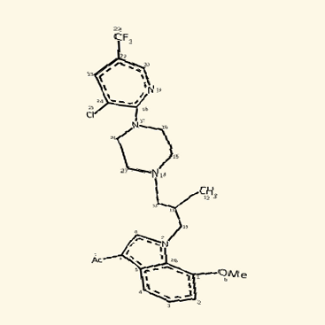 COc1cccc2c(C(C)=O)cn(CC(C)CN3CCN(c4ncc(C(F)(F)F)cc4Cl)CC3)c12